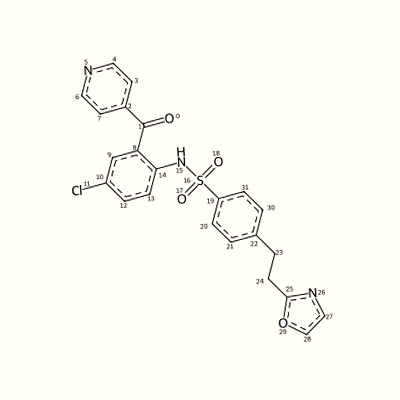 O=C(c1ccncc1)c1cc(Cl)ccc1NS(=O)(=O)c1ccc(CCc2ncco2)cc1